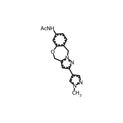 CC(=O)Nc1ccc2c(c1)OCc1cc(-c3cnn(C)c3)nn1C2